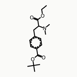 CCOC(=O)C(Cc1ccc(C(=O)OC(C)(C)C)cc1)N(C)C